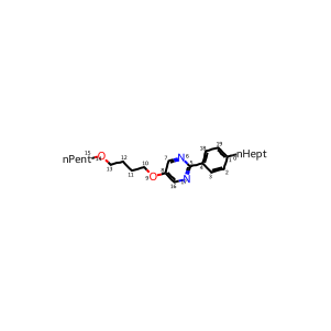 CCCCCCCc1ccc(-c2ncc(OCCCCOCCCCC)cn2)cc1